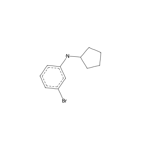 Brc1cccc([N]C2CCCC2)c1